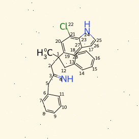 CC(CC(=N)Cc1ccccc1)(Cc1ccccc1)c1cc(Cl)c2[nH]ccc2c1